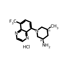 C[C@H]1C[C@@H](N)CN(c2ccc(C(F)(F)F)c3nccnc23)C1.Cl